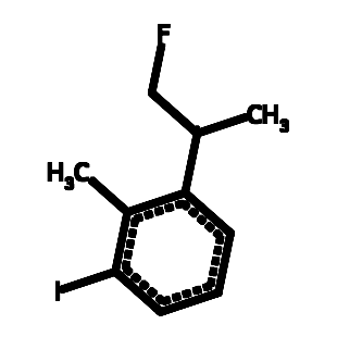 C[C](CF)c1cccc(I)c1C